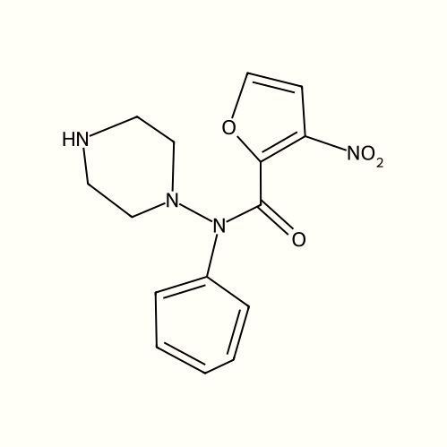 O=C(c1occc1[N+](=O)[O-])N(c1ccccc1)N1CCNCC1